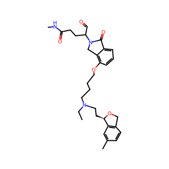 CCN(CCCCOc1cccc2c1CN(C(C=O)CCC(=O)NC)C2=O)CC[C@H]1OCc2ccc(C)cc21